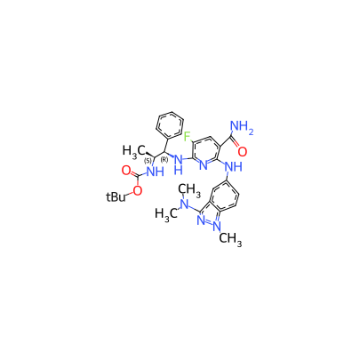 C[C@H](NC(=O)OC(C)(C)C)[C@H](Nc1nc(Nc2ccc3c(c2)c(N(C)C)nn3C)c(C(N)=O)cc1F)c1ccccc1